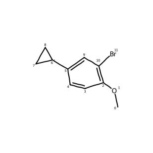 COc1ccc([C]2CC2)cc1Br